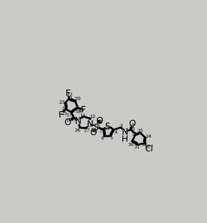 O=C(NCc1ccc(S(=O)(=O)N2CCN(C(=O)c3c(F)cc(F)cc3F)CC2)s1)c1ccc(Cl)cc1